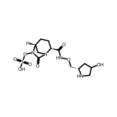 O=C(NOC[C@@H]1CC(O)CN1)[C@@H]1CC[C@@H]2CN1C(=O)N2OS(=O)(=O)O